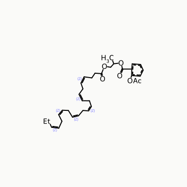 CC/C=C\C/C=C\C/C=C\C/C=C\C/C=C\C/C=C\CCC(=O)OCC(C)OC(=O)c1ccccc1OC(C)=O